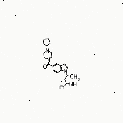 CC(C)C(=N)CC(C)n1ccc2cc(C(=O)N3CCN(C4CCCC4)CC3)ccc21